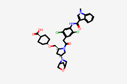 Cn1cc(C(=O)Nc2cc(Cl)c(CC(=O)N3C[C@@H](N4CC5CC4CO5)C[C@H]3CO[C@H]3CC[C@H](C(=O)O)CC3)cc2Cl)c2ccccc21